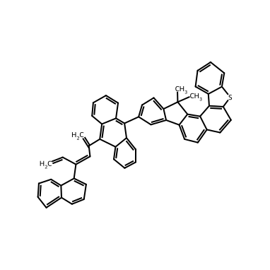 C=C/C(=C\C(=C)c1c2ccccc2c(-c2ccc3c(c2)-c2ccc4ccc5sc6ccccc6c5c4c2C3(C)C)c2ccccc12)c1cccc2ccccc12